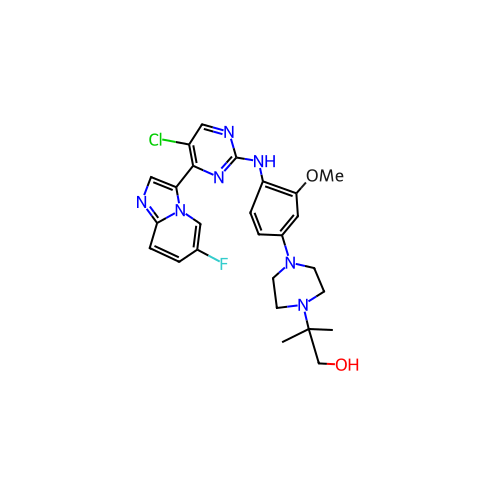 COc1cc(N2CCN(C(C)(C)CO)CC2)ccc1Nc1ncc(Cl)c(-c2cnc3ccc(F)cn23)n1